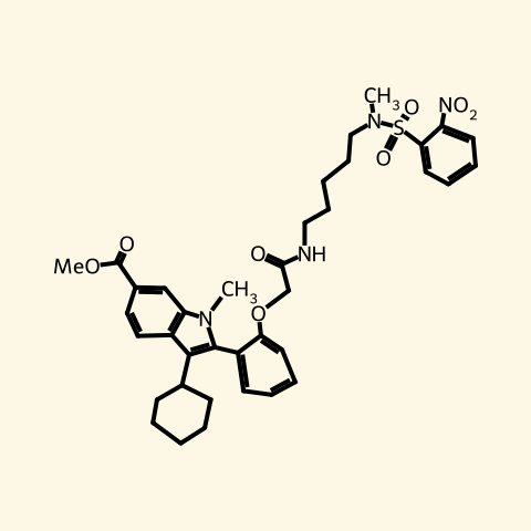 COC(=O)c1ccc2c(C3CCCCC3)c(-c3ccccc3OCC(=O)NCCCCCN(C)S(=O)(=O)c3ccccc3[N+](=O)[O-])n(C)c2c1